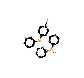 CCCCc1ccc(Pc2ccccc2)cc1.[Pd].c1ccc(Pc2ccccc2)cc1